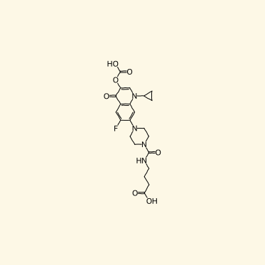 O=C(O)CCCNC(=O)N1CCN(c2cc3c(cc2F)c(=O)c(OC(=O)O)cn3C2CC2)CC1